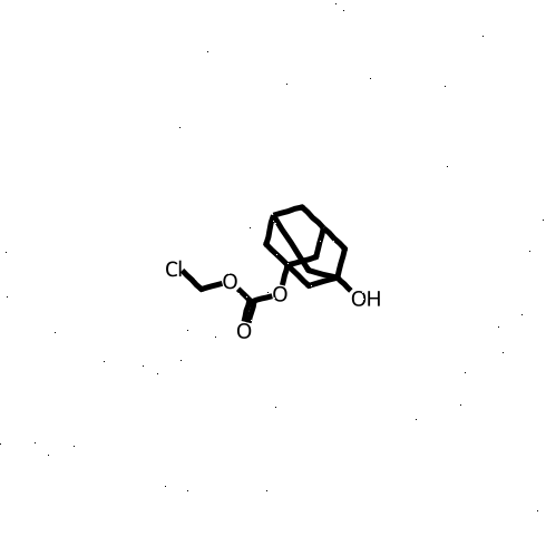 O=C(OCCl)OC12CC3CC(CC(O)(C3)C1)C2